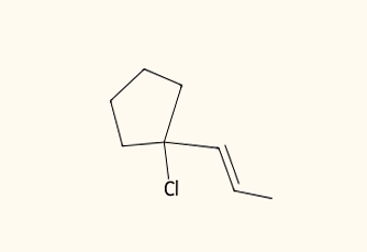 C/C=C/C1(Cl)CCCC1